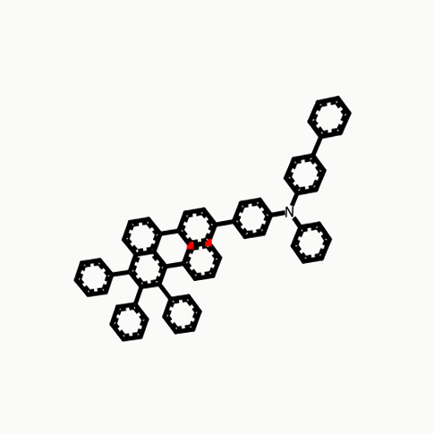 c1ccc(-c2ccc(N(c3ccccc3)c3ccc(-c4ccc(-c5cccc6c(-c7ccccc7)c(-c7ccccc7)c(-c7ccccc7)c(-c7ccccc7)c56)cc4)cc3)cc2)cc1